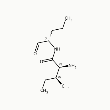 CCC[C@@H]([C]=O)NC(=O)[C@@H](N)[C@@H](C)CC